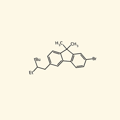 CCC(Cc1ccc2c(c1)-c1ccc(Br)cc1C2(C)C)C(C)(C)C